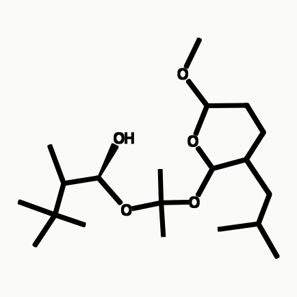 COC1CCC(CC(C)C)C(OC(C)(C)O[C@H](O)C(C)C(C)(C)C)O1